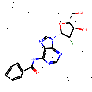 O=C(Nc1ncnc2c1ncn2[C@@H]1O[C@H](CO)[C@@H](O)[C@@H]1F)c1ccccc1